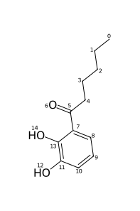 CCCCCC(=O)c1cccc(O)c1O